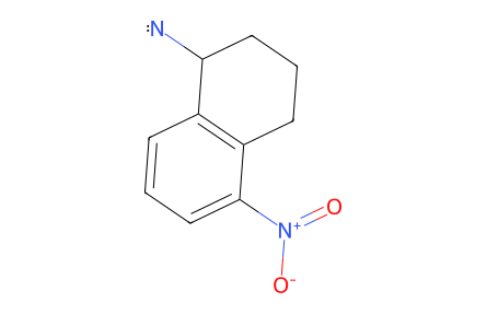 [N]C1CCCc2c1cccc2[N+](=O)[O-]